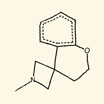 CN1CC2(CCOc3ccccc32)C1